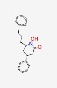 O=C1C[C@H](c2ccccc2)C[C@@H](CCCc2ccccc2)N1O